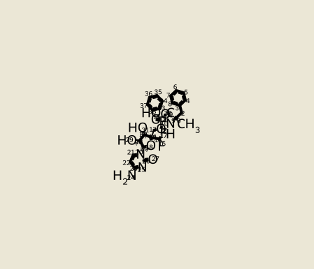 CC(Cc1ccccc1)(NP(=O)(OC[C@@]1(C(F)F)O[C@@H](n2ccc(N)nc2=O)[C@H](O)[C@@H]1O)Oc1ccccc1)C(=O)O